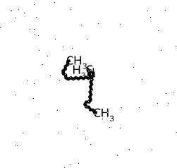 CCCCC/C=C\C/C=C\CCCCCCCCC1(CCCCCCCC/C=C\C/C=C\CCCCC)CCN(C)C1